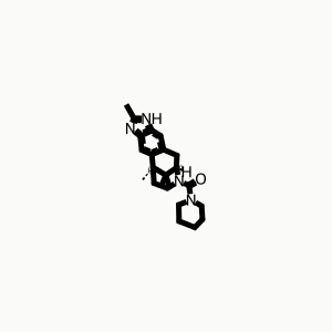 Cc1nc2cc3c(cc2[nH]1)C[C@H]1N(C(=O)N2CCCCC2)CC[C@]3(C)C1(C)C